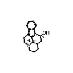 O[C@H]1CC2CCCN3CCc4c(n1c1ccccc41)[C@@H]23